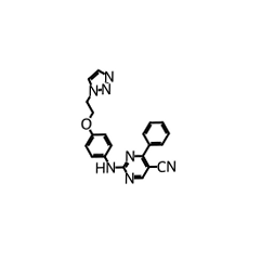 N#Cc1cnc(Nc2ccc(OCCn3ccnn3)cc2)nc1-c1ccccc1